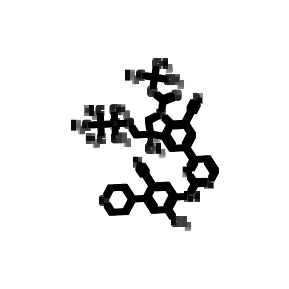 Cc1cc(C2CCOCC2)c(C#N)cc1Nc1nccc(-c2cc(C#N)c3c(c2)[C@@](C)(CO[Si](C)(C)C(C)(C)C)CN3C(=O)OC(C)(C)C)n1